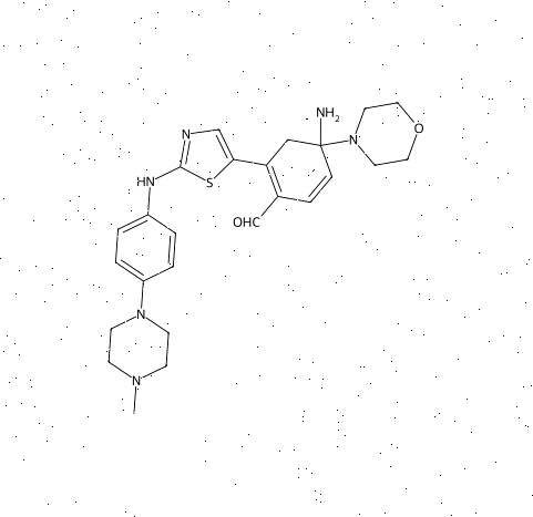 CN1CCN(c2ccc(Nc3ncc(C4=C(C=O)C=CC(N)(N5CCOCC5)C4)s3)cc2)CC1